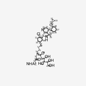 CC(=O)NCCCN(CCCSc1ccc(Cl)c(CNC2(c3cnccc3-c3ccccc3OC3CC3)CC2)c1)C(=O)C(O)C(O)C(O)C(O)CO